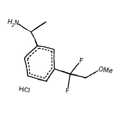 COCC(F)(F)c1cccc(C(C)N)c1.Cl